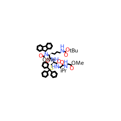 COC(=O)CNC(=O)[C@H](NC(=O)[C@@H](CSC(c1ccccc1)(c1ccccc1)c1ccccc1)NC(=O)[C@@H](CCCCNC(=O)OC(C)(C)C)N(C(=O)OC)C1c2ccccc2-c2ccccc21)C(C)C